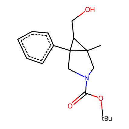 CC(C)(C)OC(=O)N1CC2(C)C(CO)C2(c2ccccc2)C1